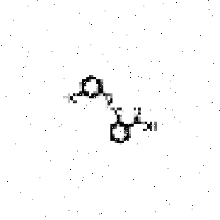 O=C(O)c1ccccc1ON=Nc1cccc(O)c1